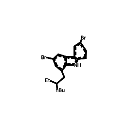 CCCCC(CC)Cc1cc(Br)cc2c1[nH]c1ccc(Br)cc12